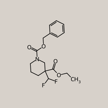 CCOC(=O)C1(C(F)F)CCCN(C(=O)OCc2ccccc2)C1